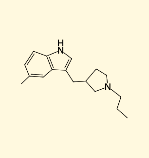 CCCN1CCC(Cc2c[nH]c3ccc(C)cc23)C1